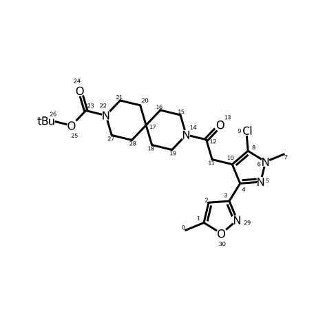 Cc1cc(-c2nn(C)c(Cl)c2CC(=O)N2CCC3(CC2)CCN(C(=O)OC(C)(C)C)CC3)no1